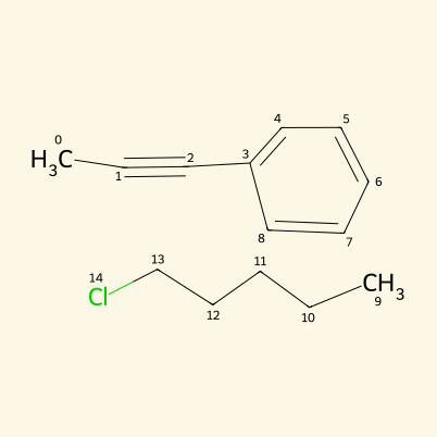 CC#Cc1ccccc1.CCCCCCl